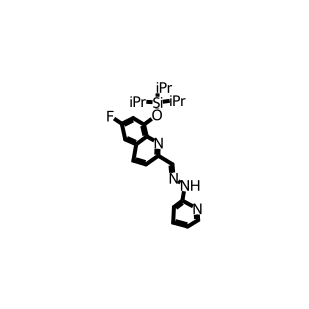 CC(C)[Si](Oc1cc(F)cc2ccc(/C=N/Nc3ccccn3)nc12)(C(C)C)C(C)C